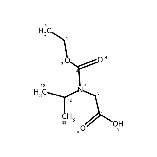 CCOC(=O)N(CC(=O)O)C(C)C